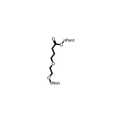 CCCCCCCCCOCCOCCCC(=O)OCCCCC